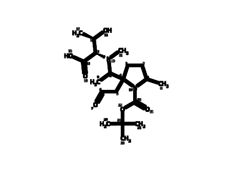 CC1CCC(CC=O)(C(C)N(C)[C@H](C(=O)O)[C@@H](C)O)N1C(=O)OC(C)(C)C